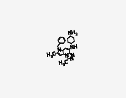 CC1=CC2C(C=C(N[C@H]3CC[C@@H](N)CC3)c3nnc(C)n32)N1Cc1ccccc1